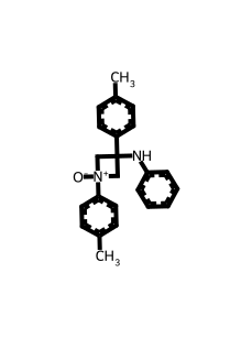 Cc1ccc(C2(Nc3ccccc3)C[N+]([O-])(c3ccc(C)cc3)C2)cc1